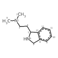 CN(C)CCC1N[C]c2ccccc21